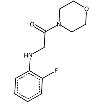 O=C(CNc1ccccc1F)N1CCOCC1